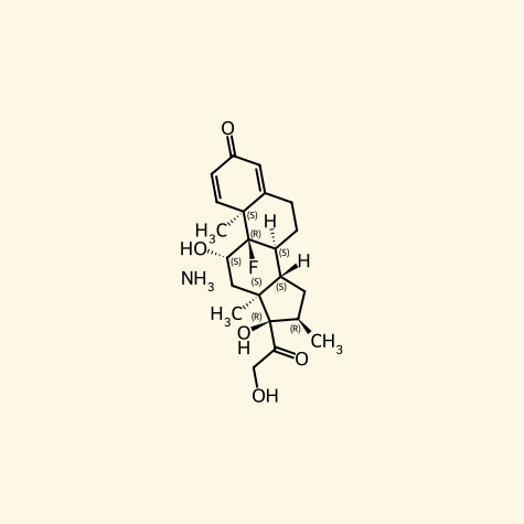 C[C@@H]1C[C@H]2[C@@H]3CCC4=CC(=O)C=C[C@]4(C)[C@@]3(F)[C@@H](O)C[C@]2(C)[C@@]1(O)C(=O)CO.N